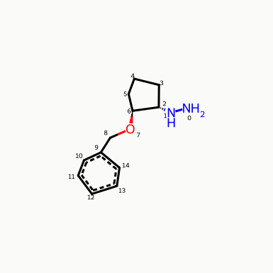 NN[C@H]1CCC[C@@H]1OCc1ccccc1